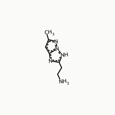 Cc1cc2nc(CCN)[nH]n2n1